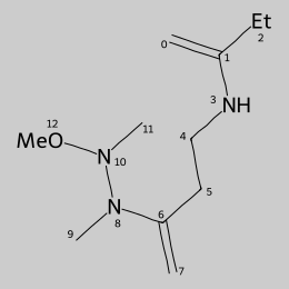 C=C(CC)NCCC(=C)N(C)N(C)OC